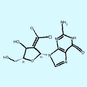 Nc1nc2c(ncn2[C@@H]2O[C@H](CO)C(O)C2=C(Cl)Cl)c(=O)[nH]1